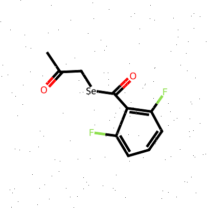 CC(=O)C[Se]C(=O)c1c(F)cccc1F